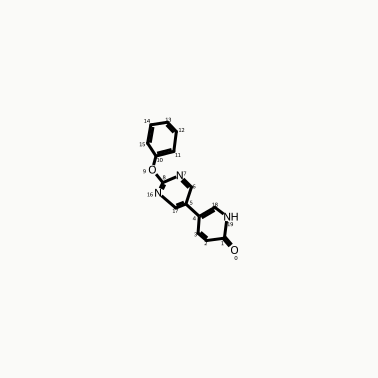 O=c1ccc(-c2cnc(Oc3ccccc3)nc2)c[nH]1